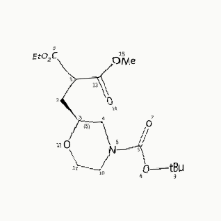 CCOC(=O)C(C[C@H]1CN(C(=O)OC(C)(C)C)CCO1)C(=O)OC